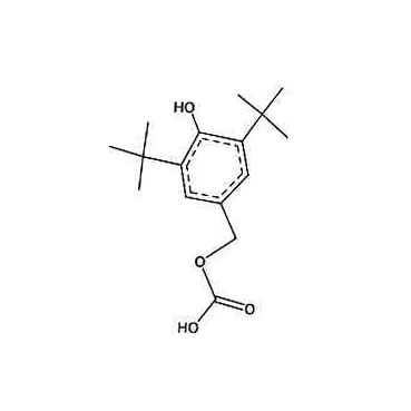 CC(C)(C)c1cc(COC(=O)O)cc(C(C)(C)C)c1O